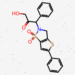 O=C(CO)C(c1ccccc1)N1Cc2sc(-c3ccccc3)cc2S1(=O)=O